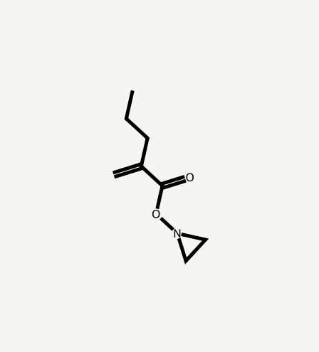 C=C(CCC)C(=O)ON1CC1